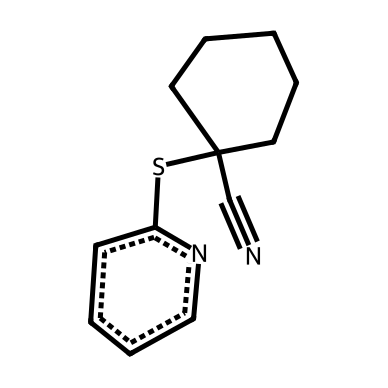 N#CC1(Sc2ccccn2)CCCCC1